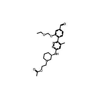 CCOCOc1cc(C=O)ccc1-c1nnc(N[C@@H]2CCCN(CCOC(C)=O)C2)cc1C